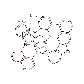 CC1(C)c2ccccc2-c2c1ccc(-c1ccccc1)c2N(c1ccc(-c2ccccc2)cc1)c1cccc2oc3cccc(-c4ccc5c6ccccc6n(-c6ccccc6)c5c4)c3c12